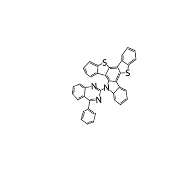 c1ccc(-c2nc(-n3c4ccccc4c4c5sc6ccccc6c5c5sc6ccccc6c5c43)nc3ccccc23)cc1